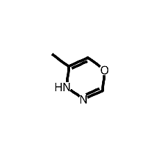 CC1=COC=NN1